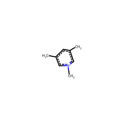 Cc1cc(C)c[n+](C)c1